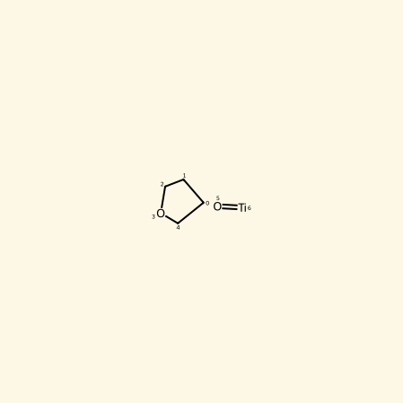 C1CCOC1.[O]=[Ti]